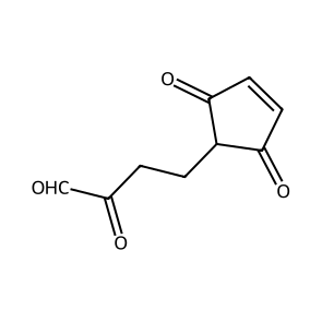 O=CC(=O)CCC1C(=O)C=CC1=O